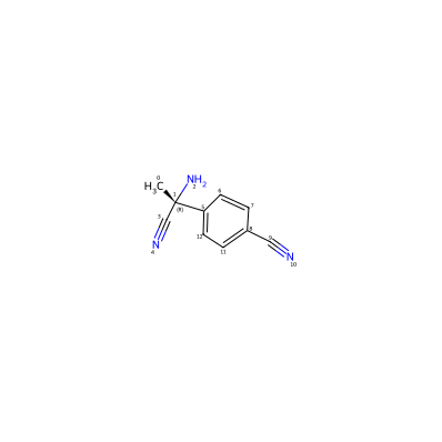 C[C@](N)(C#N)c1ccc(C#N)cc1